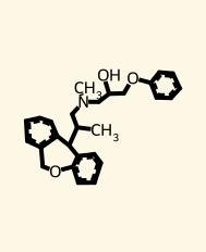 CC(CN(C)CC(O)COc1ccccc1)C1c2ccccc2COc2ccccc21